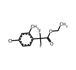 CCOC(=O)C(F)(F)c1ccc(Cl)cc1C